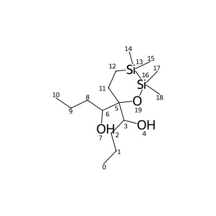 CCCC(O)C1(C(O)CCC)CC[Si](C)(C)[Si](C)(C)O1